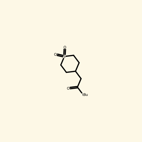 CC(C)(C)C(=O)CC1CCS(=O)(=O)CC1